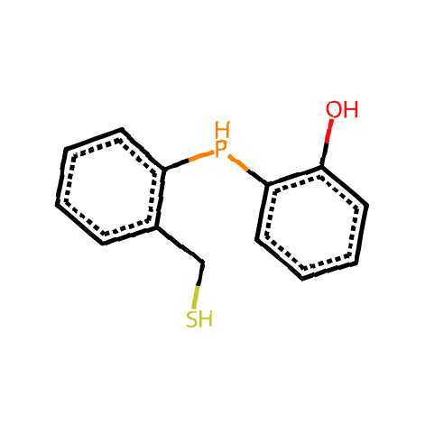 Oc1ccccc1Pc1ccccc1CS